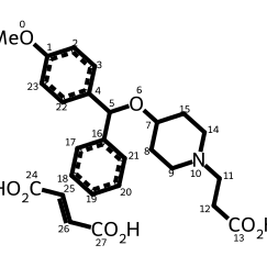 COc1ccc(C(OC2CCN(CCC(=O)O)CC2)c2ccccc2)cc1.O=C(O)C=CC(=O)O